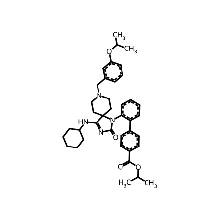 CC(C)OC(=O)c1ccc(-c2ccccc2N2C(=O)N=C(NC3CCCCC3)C23CCN(Cc2cccc(OC(C)C)c2)CC3)cc1